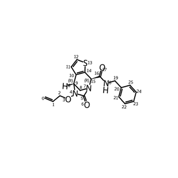 C=CCON1C(=O)N2C[C@H]1c1ccsc1[C@H]2C(=O)NCc1ccccc1